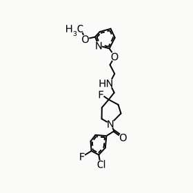 COc1cccc(OCCNCC2(F)CCN(C(=O)c3ccc(F)c(Cl)c3)CC2)n1